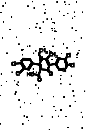 CCn1c(C)c(-c2cnc(Cl)c(Cl)c2)c(=O)c(C(=O)O)c1-c1ccc(Cl)c(Cl)c1